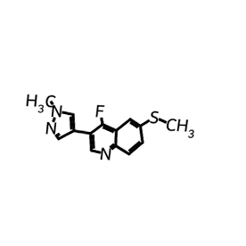 CSc1ccc2ncc(-c3cnn(C)c3)c(F)c2c1